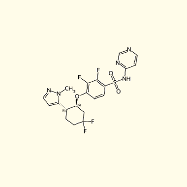 Cn1nccc1[C@H]1CCC(F)(F)C[C@@H]1Oc1ccc(S(=O)(=O)Nc2ccncn2)c(F)c1F